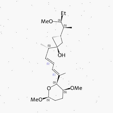 CC[C@H](OC)[C@@H](C)[C@H]1C[C@@](O)([C@@H](C)/C=C/C=C(\C)[C@@H]2O[C@H](OC)CC[C@@H]2OC)C1